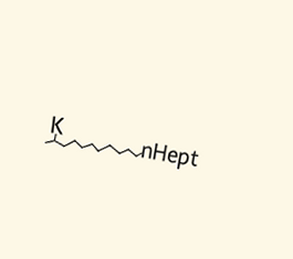 CCCCCCCCCCCCCCCC[CH](C)[K]